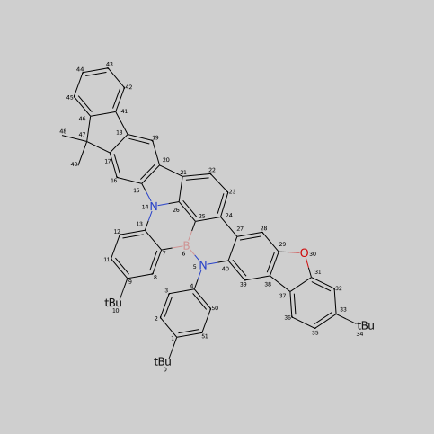 CC(C)(C)c1ccc(N2B3c4cc(C(C)(C)C)ccc4-n4c5cc6c(cc5c5ccc(c3c54)-c3cc4oc5cc(C(C)(C)C)ccc5c4cc32)-c2ccccc2C6(C)C)cc1